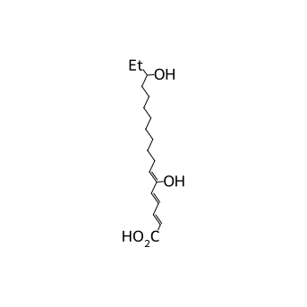 CCC(O)CCCCCCCCC=C(O)C=CC=CC(=O)O